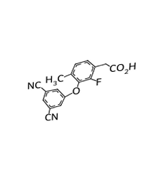 Cc1ccc(CC(=O)O)c(F)c1Oc1cc(C#N)cc(C#N)c1